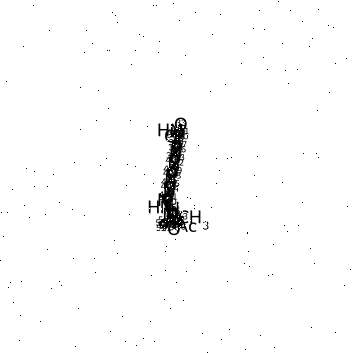 CC(=O)c1c(C)c2cnc(Nc3ccc(N4CCN(C5CCC(N6CCN(c7ccc(C8CCC(=O)NC8=O)cc7)CC6)CC5)CC4)cn3)nc2n(C2CCCC2)c1=O